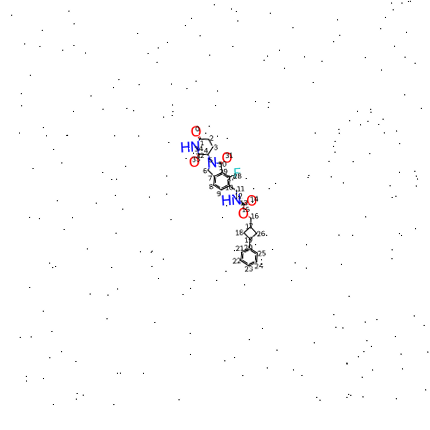 O=C1CCC(N2Cc3ccc(CNC(=O)OCC4CC(c5ccccc5)C4)c(F)c3C2=O)C(=O)N1